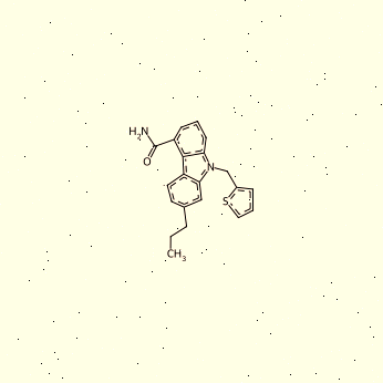 CCCc1c[c]c2c3c(C(N)=O)cccc3n(Cc3cccs3)c2c1